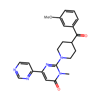 COc1cccc(C(=O)C2CCN(c3nc(-c4ccncn4)cc(=O)n3C)CC2)c1